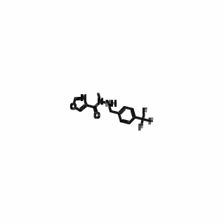 CN(NCc1ccc(C(F)(F)F)cc1)C(=O)c1cocn1